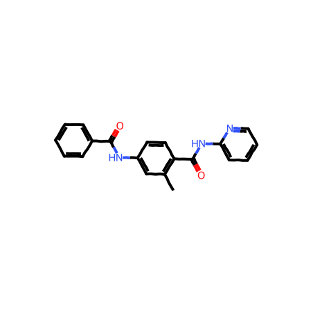 Cc1cc(NC(=O)c2ccccc2)ccc1C(=O)Nc1ccccn1